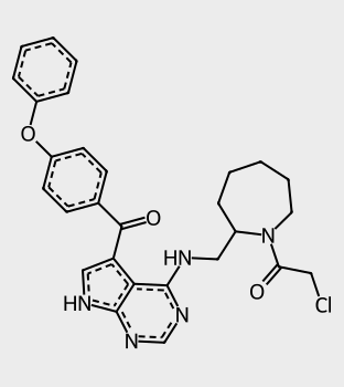 O=C(c1ccc(Oc2ccccc2)cc1)c1c[nH]c2ncnc(NCC3CCCCCN3C(=O)CCl)c12